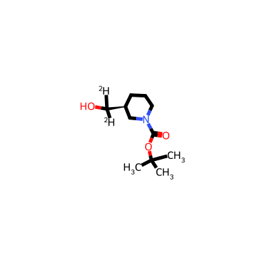 [2H]C([2H])(O)[C@H]1CCCN(C(=O)OC(C)(C)C)C1